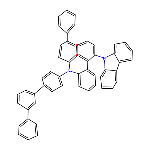 c1ccc(-c2ccc(N(c3ccc(-c4cccc(-c5ccccc5)c4)cc3)c3ccccc3-c3ccccc3-n3c4ccccc4c4ccccc43)cc2)cc1